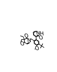 CCC1(CC)C(=O)C=CN(Cc2cc(OC)c(C(C)(C)C)cc2-c2ccc[nH]c2=O)C1=O